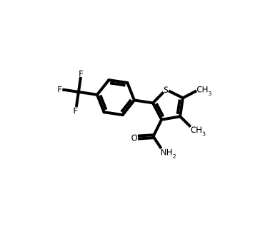 Cc1sc(-c2ccc(C(F)(F)F)cc2)c(C(N)=O)c1C